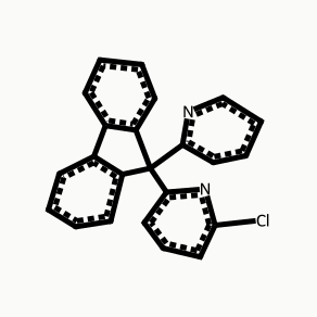 Clc1cccc(C2(c3ccccn3)c3ccccc3-c3ccccc32)n1